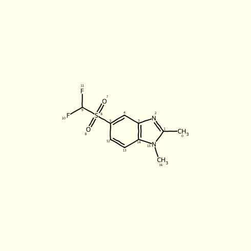 Cc1nc2cc(S(=O)(=O)C(F)F)ccc2n1C